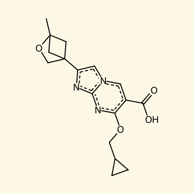 CC12CC(c3cn4cc(C(=O)O)c(OCC5CC5)nc4n3)(CO1)C2